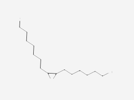 CC(=O)CCCCCCCC1OC1CCCCCCO